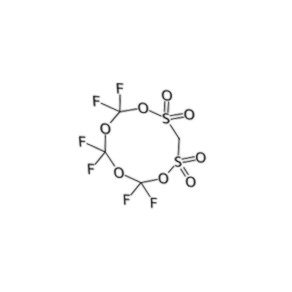 O=S1(=O)CS(=O)(=O)OC(F)(F)OC(F)(F)OC(F)(F)O1